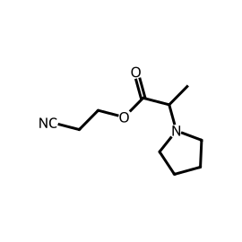 CC(C(=O)OCCC#N)N1CCCC1